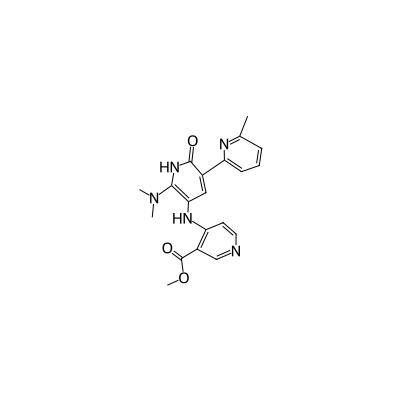 COC(=O)c1cnccc1Nc1cc(-c2cccc(C)n2)c(=O)[nH]c1N(C)C